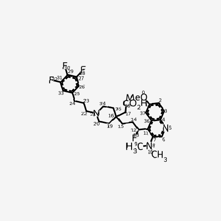 COc1ccc2ncc(N(C)C)c([C@@H](F)CCC3(CC(=O)O)CCN(CCCc4cc(F)c(F)c(F)c4)CC3)c2c1